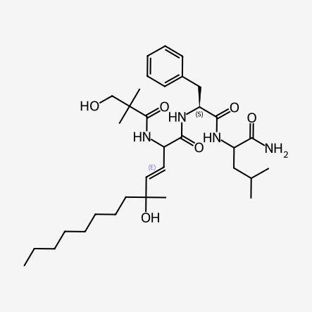 CCCCCCCCC(C)(O)/C=C/C(NC(=O)C(C)(C)CO)C(=O)N[C@@H](Cc1ccccc1)C(=O)NC(CC(C)C)C(N)=O